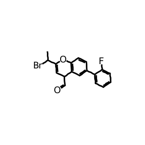 CC(Br)C1=CC(C=O)c2cc(-c3ccccc3F)ccc2O1